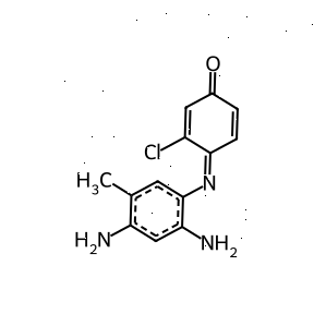 Cc1cc(N=C2C=CC(=O)C=C2Cl)c(N)cc1N